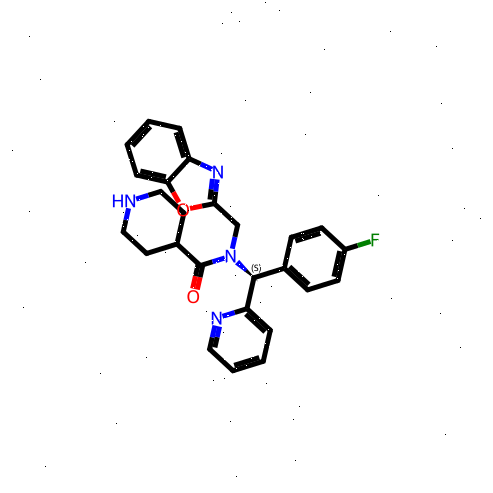 O=C(C1CCNCC1)N(Cc1nc2ccccc2o1)[C@@H](c1ccc(F)cc1)c1ccccn1